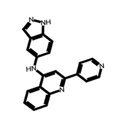 c1ccc2c(Nc3ccc4[nH]ncc4c3)cc(-c3ccncc3)nc2c1